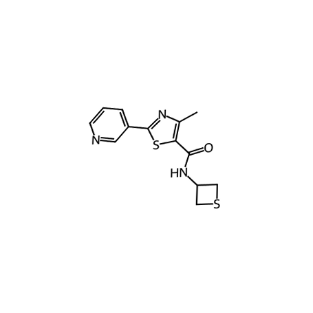 Cc1nc(-c2cccnc2)sc1C(=O)NC1CSC1